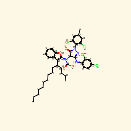 CCCCCCCCCCC(CCCC)c1c(N(C(=O)O)C2C(=O)N(c3c(Cl)cc(C)cc3Cl)N=C2Nc2ccc(Cl)cc2Cl)oc2ccccc12